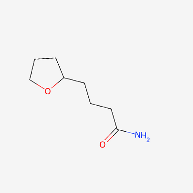 NC(=O)CCCC1CCCO1